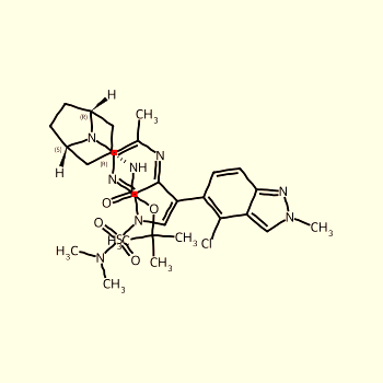 Cc1nc2c(-c3ccc4nn(C)cc4c3Cl)cn(S(=O)(=O)N(C)C)c2nc1N1[C@@H]2CC[C@H]1C[C@@H](NC(=O)OC(C)(C)C)C2